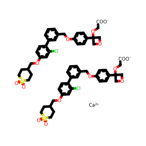 O=C([O-])COC1(c2ccc(OCc3cccc(-c4ccc(OCC5CCS(=O)(=O)CC5)cc4Cl)c3)cc2)COC1.O=C([O-])COC1(c2ccc(OCc3cccc(-c4ccc(OCC5CCS(=O)(=O)CC5)cc4Cl)c3)cc2)COC1.[Ca+2]